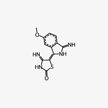 COc1ccc2c(c1)C(=C1SC(=O)NC1=N)NC2=N